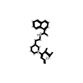 C=C/C=C(\C(C)=C(\C)CC)N1CCCC(CCNC(C)c2cccc3ccccc23)C1